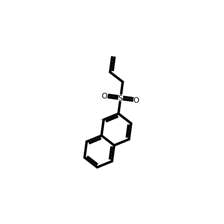 C=CCS(=O)(=O)c1[c]c2ccccc2cc1